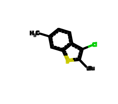 Cc1ccc2c(Cl)c(C(C)(C)C)sc2c1